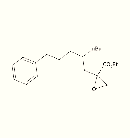 CCCCC(CCCc1ccccc1)CC1(C(=O)OCC)CO1